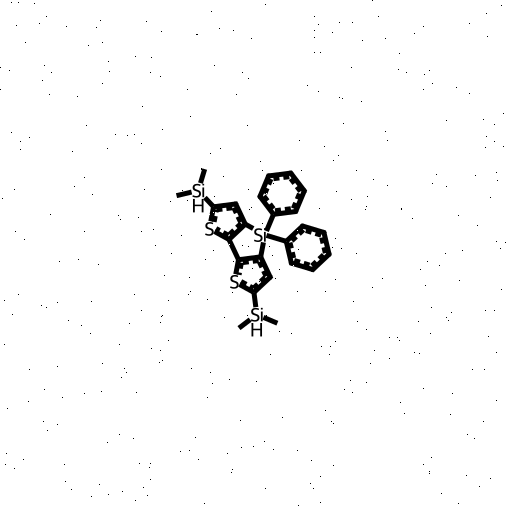 C[SiH](C)c1cc2c(s1)-c1sc([SiH](C)C)cc1[Si]2(c1ccccc1)c1ccccc1